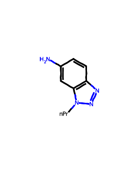 CCCn1nnc2ccc(N)cc21